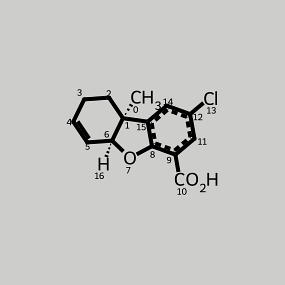 C[C@@]12CCC=C[C@@H]1Oc1c(C(=O)O)cc(Cl)cc12